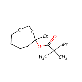 CCC1(OC(=O)C(C)(C)C(C)C)CCCCCCC1